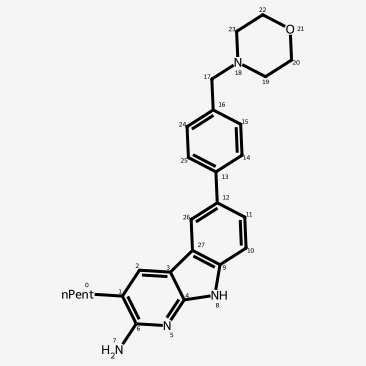 CCCCCc1cc2c(nc1N)[nH]c1ccc(-c3ccc(CN4CCOCC4)cc3)cc12